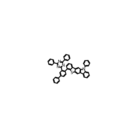 c1ccc(-c2ccc(-c3cccc4c3sc3cc5c6ccccc6n(-c6ccccc6)c5cc34)c(-c3nc(-c4ccccc4)nc(-c4ccccc4)n3)c2)cc1